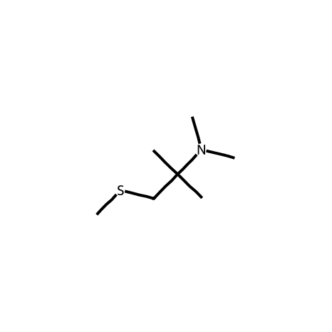 CSCC(C)(C)N(C)C